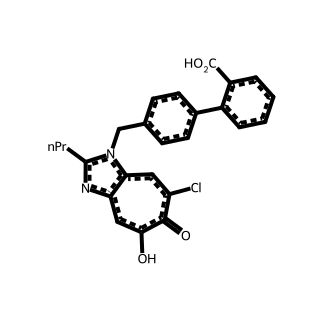 CCCc1nc2cc(O)c(=O)c(Cl)cc2n1Cc1ccc(-c2ccccc2C(=O)O)cc1